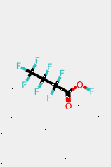 O=C(OF)C(F)(F)C(F)(F)C(F)(F)F